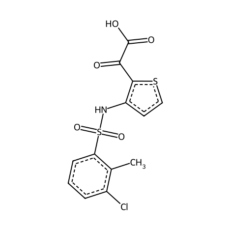 Cc1c(Cl)cccc1S(=O)(=O)Nc1ccsc1C(=O)C(=O)O